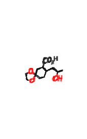 CC(O)CC1CCC2(CC1C(=O)O)OCCO2